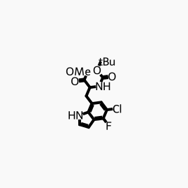 COC(=O)C(Cc1cc(Cl)c(F)c2cc[nH]c12)NC(=O)OC(C)(C)C